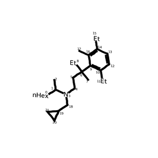 CCCCCCC(C)N(CCC(C)(CC)c1c(CC)ccc(CC)c1C)CC1CC1